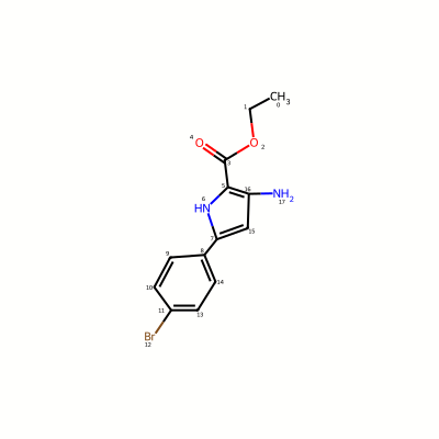 CCOC(=O)c1[nH]c(-c2ccc(Br)cc2)cc1N